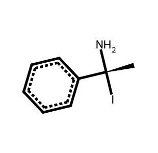 C[C@@](N)(I)c1ccccc1